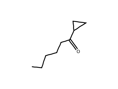 CCCCCC(=O)C1CC1